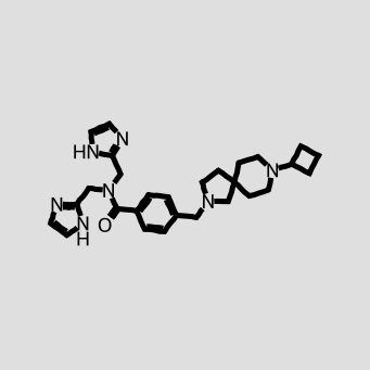 O=C(c1ccc(CN2CCC3(CCN(C4CCC4)CC3)C2)cc1)N(Cc1ncc[nH]1)Cc1ncc[nH]1